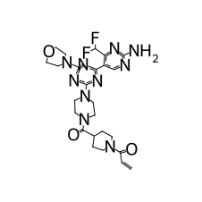 C=CC(=O)N1CCC(C(=O)N2CCN(c3nc(-c4cnc(N)nc4C(F)F)nc(N4CCOCC4)n3)CC2)CC1